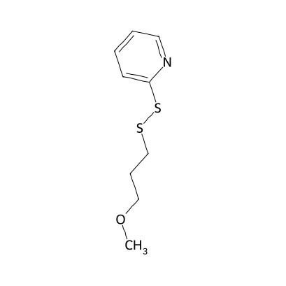 COCCCSSc1ccccn1